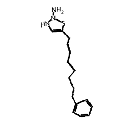 NN1NC=C(CCCCCCCCc2ccccc2)S1